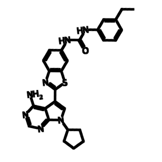 CCc1cccc(NC(=O)Nc2ccc3nc(-c4cn(C5CCCC5)c5ncnc(N)c45)sc3c2)c1